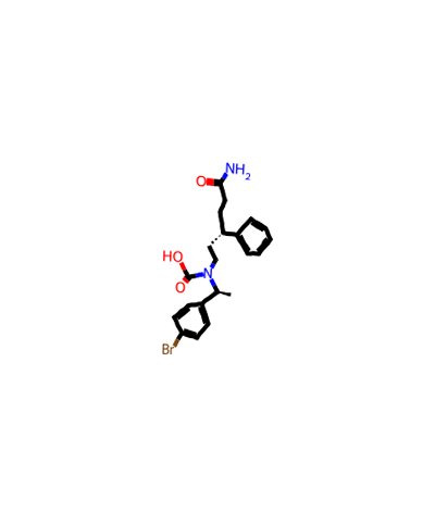 C[C@@H](c1ccc(Br)cc1)N(CC[C@H](CCC(N)=O)c1ccccc1)C(=O)O